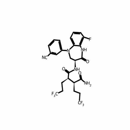 N#Cc1cccc(N2C[C@H](NC(=O)[C@H](CCC(F)(F)F)[C@H](CCC(F)(F)F)C(N)=O)C(=O)Nc3c(F)cccc32)c1